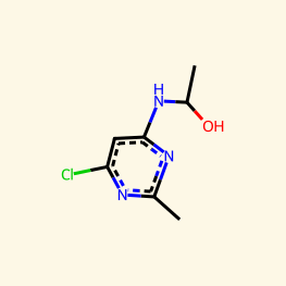 Cc1nc(Cl)cc(NC(C)O)n1